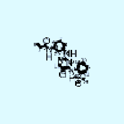 C=CC(=O)N[C@@H]1CCC[C@@H](Nc2ncc(Cl)c(Nc3ccccc3P(C)(C)=O)n2)C1